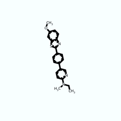 CCN(C)c1ccc(-c2ccc(-c3nc4ccc(OC)cc4s3)cc2)cn1